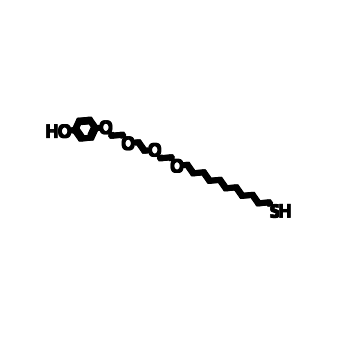 Oc1ccc(OCCOCCOCCOCCCCCCCCCCCS)cc1